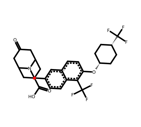 O=C1CC2CC(C(=O)O)CC(C1)N2Cc1ccc2c(C(F)(F)F)c(O[C@H]3CC[C@@H](C(F)(F)F)CC3)ccc2c1